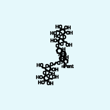 CCC[C@@H](C)[C@H]1CC[C@H]2[C@@H]3CC[C@@H]4C[C@H](O[C@@H]5OC(CO)[C@@H](O[C@H]6OC(CO)[C@@H](O)[C@H](O)C6O)C(O)[C@@H]5O)CC[C@]4(C)[C@H]3C[C@H](OCCO[C@@H]3OC(CO)[C@@H](O[C@H]4OC(CO)[C@@H](O)[C@H](O)C4O)C(O)[C@@H]3O)[C@]12C